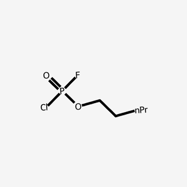 CCCCCOP(=O)(F)Cl